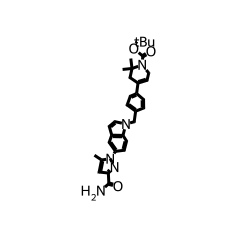 Cc1cc(C(N)=O)nn1-c1ccc2c(ccn2Cc2ccc(C3=CCN(C(=O)OC(C)(C)C)C(C)(C)C3)cc2)c1